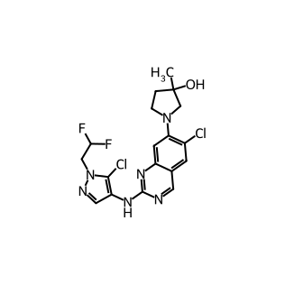 CC1(O)CCN(c2cc3nc(Nc4cnn(CC(F)F)c4Cl)ncc3cc2Cl)C1